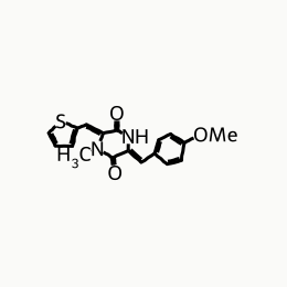 COc1ccc(/C=c2\[nH]c(=O)/c(=C/c3cccs3)n(C)c2=O)cc1